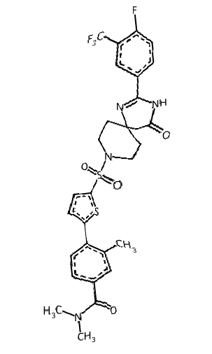 Cc1cc(C(=O)N(C)C)ccc1-c1ccc(S(=O)(=O)N2CCC3(CC2)N=C(c2ccc(F)c(C(F)(F)F)c2)NC3=O)s1